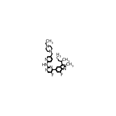 CCC(C)c1c2cc(-c3nc(Nc4ccc(CN5CCN(CC)CC5)cn4)ncc3F)cc(F)c2nn1C